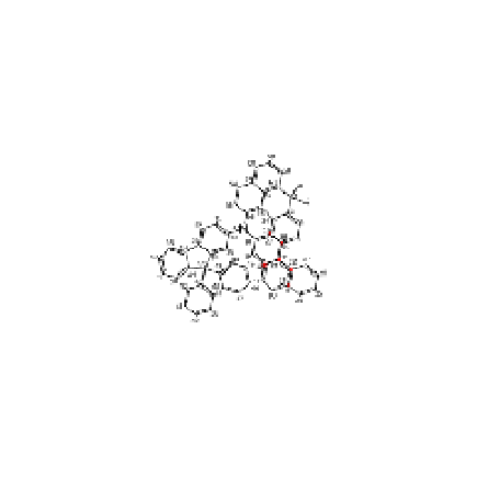 CC1(C)c2ccc(-c3ccccc3)cc2-c2c(N(c3ccc(-c4ccccc4)cc3)c3ccc4c(c3)C(c3ccccc3)(c3ccccc3)c3ccccc3-4)ccc3cccc1c23